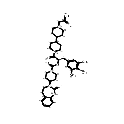 Cc1cc(C[C@@H](OC(=O)N2CCC(N3CCc4ccccc4NC3=O)CC2)C(=O)N2CCC(C3CCN(CC(=O)O)CC3)CC2)cc(C)c1N